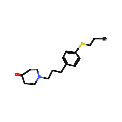 CC(C)CCSc1ccc(CCCN2CCC(=O)CC2)cc1